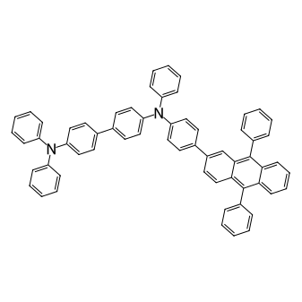 c1ccc(-c2c3ccccc3c(-c3ccccc3)c3cc(-c4ccc(N(c5ccccc5)c5ccc(-c6ccc(N(c7ccccc7)c7ccccc7)cc6)cc5)cc4)ccc23)cc1